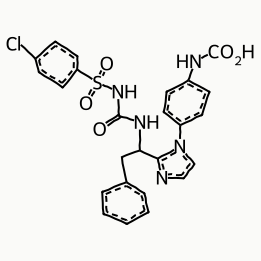 O=C(O)Nc1ccc(-n2ccnc2C(Cc2ccccc2)NC(=O)NS(=O)(=O)c2ccc(Cl)cc2)cc1